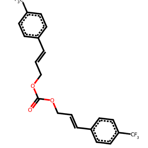 O=C(OCC=Cc1ccc(C(F)(F)F)cc1)OCC=Cc1ccc(C(F)(F)F)cc1